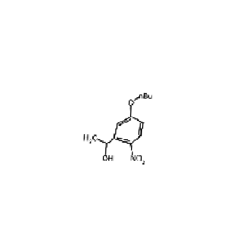 CCCCOc1ccc([N+](=O)[O-])c(C(C)O)c1